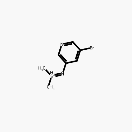 C[SH2](C)=Nc1cncc(Br)c1